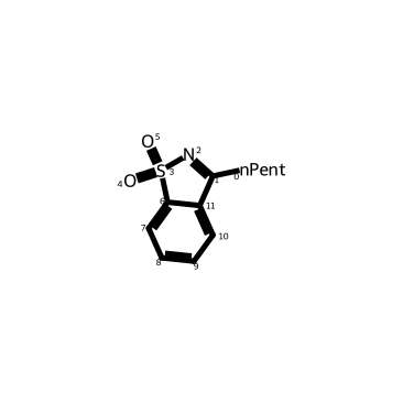 CCCCCC1=NS(=O)(=O)c2ccccc21